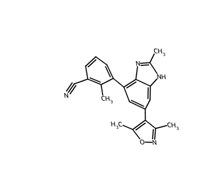 Cc1nc2c(-c3cccc(C#N)c3C)cc(-c3c(C)noc3C)cc2[nH]1